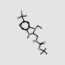 CCN1c2cc(C(F)(F)F)ccc2N(C)C1CNC(=O)OC(C)(C)C